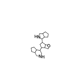 C1CC2CNCC(C3CC(C4NCC5CCCC54)C4OCC34)C2C1